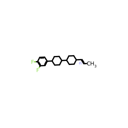 C/C=C/C1CCC(C2CCC(c3ccc(F)c(F)c3)CC2)CC1